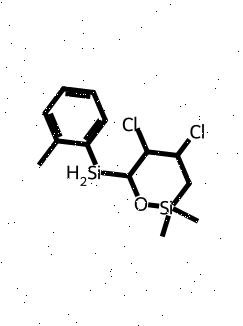 Cc1ccccc1[SiH2]C1O[Si](C)(C)CC(Cl)C1Cl